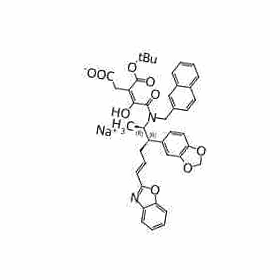 C[C@H]([C@H](CC=Cc1nc2ccccc2o1)c1ccc2c(c1)OCO2)N(Cc1ccc2ccccc2c1)C(=O)C(O)=C(CC(=O)[O-])C(=O)OC(C)(C)C.[Na+]